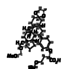 COCO[C@H]1CC[C@H]2[C@@H]3[C@H](c4ccc(OC(CCOC(C)(C)C)C(=O)O)cc4)C[C@H]4CC5(CC[C@]4(C)[C@H]3CC[C@]12C)OCCO5